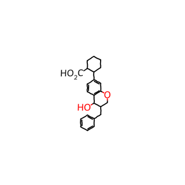 O=C(O)C1CCCCC1c1ccc2c(c1)OCC(Cc1ccccc1)C2O